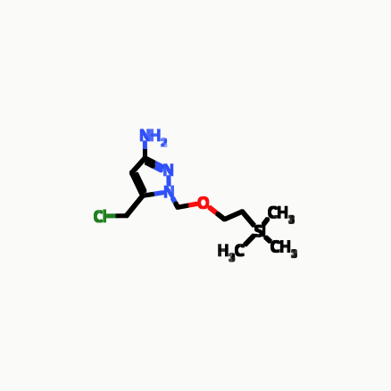 C[Si](C)(C)CCOCn1nc(N)cc1CCl